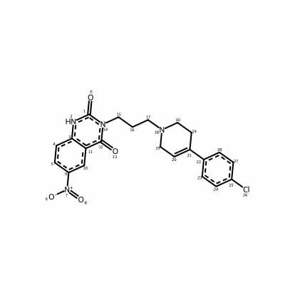 O=c1[nH]c2ccc([N+](=O)[O-])cc2c(=O)n1CCCN1CC=C(c2ccc(Cl)cc2)CC1